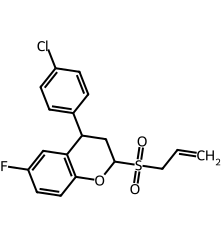 C=CCS(=O)(=O)C1CC(c2ccc(Cl)cc2)c2cc(F)ccc2O1